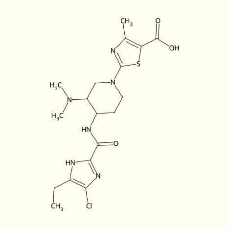 CCc1[nH]c(C(=O)NC2CCN(c3nc(C)c(C(=O)O)s3)CC2N(C)C)nc1Cl